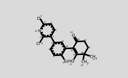 CCc1ccc(-c2ccc(Cl)nc2Cl)cc1C1=C(O)C(C)(C)CCC1=O